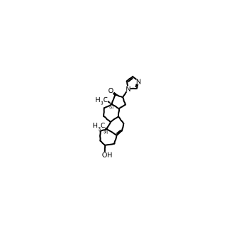 C[C@]12CCC(O)CC1=CCC1C2CC[C@]2(C)C(=O)C(n3ccnc3)CC12